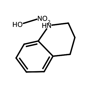 O=[N+]([O-])O.c1ccc2c(c1)CCCN2